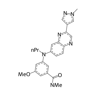 CCCN(c1cc(OC)cc(C(=O)NC)c1)c1ccc2ncc(-c3cnn(C)c3)nc2c1